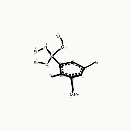 CCO[Si](OCC)(OCC)c1cc(C)cc(OC)c1C